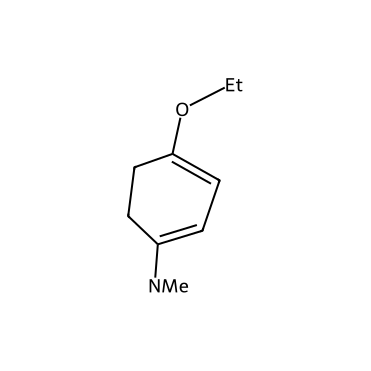 CCOC1=CC=C(NC)CC1